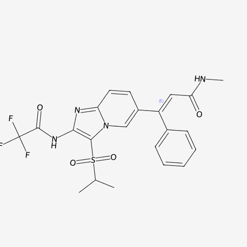 CNC(=O)/C=C(\c1ccccc1)c1ccc2nc(NC(=O)C(F)(F)F)c(S(=O)(=O)C(C)C)n2c1